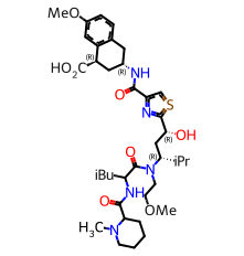 CCC(C)C(NC(=O)C1CCCCN1C)C(=O)N(CCOC)[C@H](C[C@@H](O)c1nc(C(=O)N[C@H]2Cc3ccc(OC)cc3[C@H](C(=O)O)C2)cs1)C(C)C